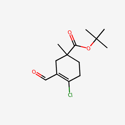 CC(C)(C)OC(=O)C1(C)CCC(Cl)=C(C=O)C1